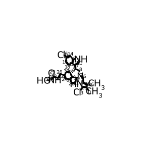 Cc1c(Cl)[nH]c(CN(CCc2c[nH]c3cc(Cl)ccc23)C2CCc3cc(C=CC(=O)NO)ccc32)c1C